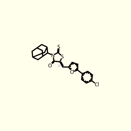 O=C1/C(=C/c2ccc(-c3ccc(Cl)cc3)o2)SC(=S)N1C1C2CC3CC(C2)CC1C3